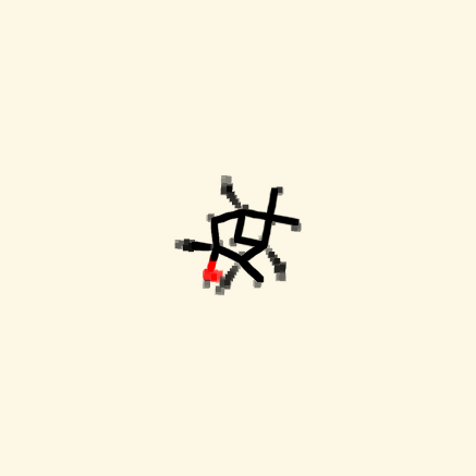 C[C@H]1[C@H](O)C[C@@H]2C[C@H]1C2(C)C